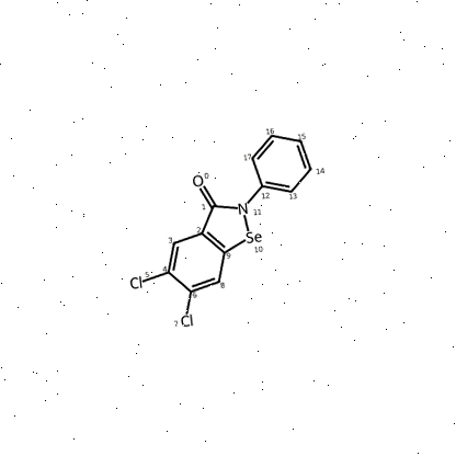 O=c1c2cc(Cl)c(Cl)cc2[se]n1-c1ccccc1